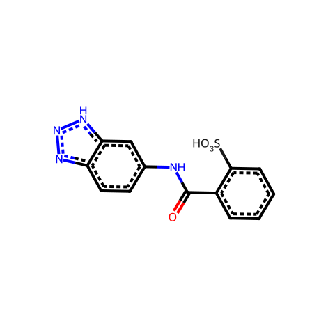 O=C(Nc1ccc2nn[nH]c2c1)c1ccccc1S(=O)(=O)O